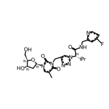 Cc1cn([C@H]2C[C@@H](O)[C@@H](CO)O2)c(=O)n(Cc2cn([C@H](C(=O)NCc3cc(F)ccn3)C(C)C)nn2)c1=O